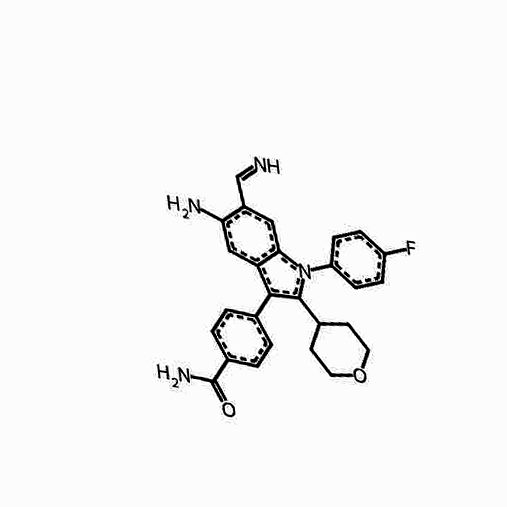 N=Cc1cc2c(cc1N)c(-c1ccc(C(N)=O)cc1)c(C1CCOCC1)n2-c1ccc(F)cc1